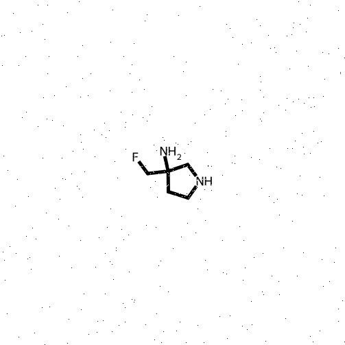 NC1(CF)CCNC1